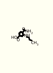 CCCCCNc1cc(C(=O)O)ccc1C(N)=O